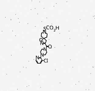 O=C(O)SN1CCC2(CC1)CC(C(=O)N1CCN(c3ncccc3Cl)CC1)=NO2